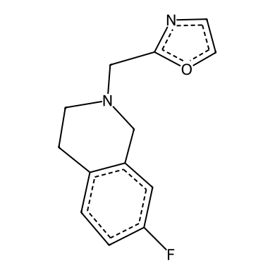 Fc1ccc2c(c1)CN(Cc1ncco1)CC2